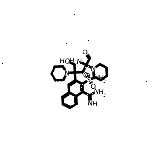 N=C(N)c1c(S(N)(=O)=O)c(C(CO)(C(=O)C(N)(C=O)N2CCCCC2)N2CCCCC2)cc2ccccc12